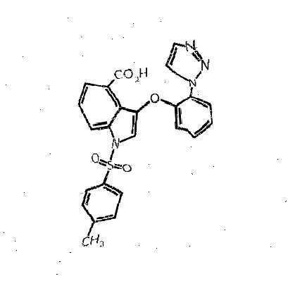 Cc1ccc(S(=O)(=O)n2cc(Oc3ccccc3-n3ccnn3)c3c(C(=O)O)cccc32)cc1